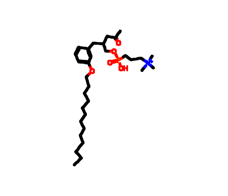 CCCCCCCCCCCCCOc1cccc(CC(COP(=O)(O)CCC[N+](C)(C)C)CC(C)=O)c1